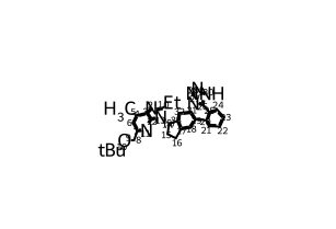 CCc1nc2c(C)cc(COC(C)(C)C)nc2n1[C@H]1CCc2cc(-c3ccccc3-c3nnn[nH]3)ccc21